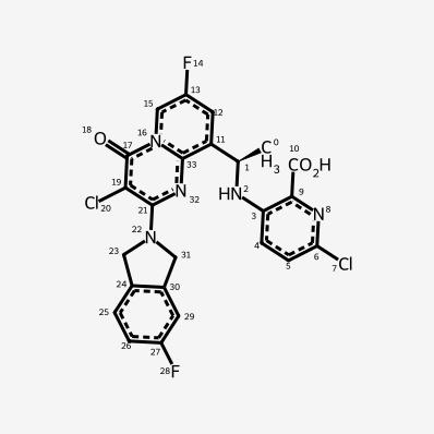 C[C@@H](Nc1ccc(Cl)nc1C(=O)O)c1cc(F)cn2c(=O)c(Cl)c(N3Cc4ccc(F)cc4C3)nc12